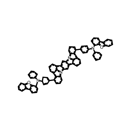 C1=CC(N(c2ccccc2)c2cccc3c2oc2ccccc23)CC=C1c1cccc2c1c1cccc3c4cc5c(cc4n2c31)c1cccc2c3c(-c4ccc(N(c6ccccc6)c6cccc7c6oc6ccccc67)cc4)cccc3n5c12